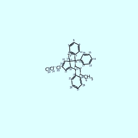 CCCCC(c1ccccc1)(c1ccccc1)[C]1([Ti+3])C=CC=C1Cc1ccccc1.[Cl-].[Cl-].[Cl-]